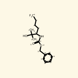 CC(C)(O)C(CCCC(F)(F)F)NC(=O)OCc1ccccc1